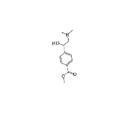 COC(=O)c1ccc(C(O)CN(C)C)cc1